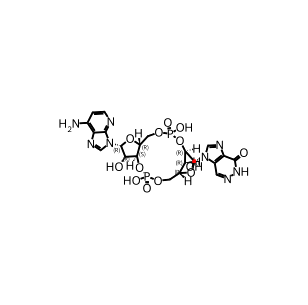 Nc1ccnc2c1ncn2[C@@H]1O[C@@H]2COP(=O)(O)O[C@@H]3[C@H](O)[C@@H](COP(=O)(O)O[C@H]2[C@H]1O)O[C@H]3n1cnc2c(=O)[nH]ncc21